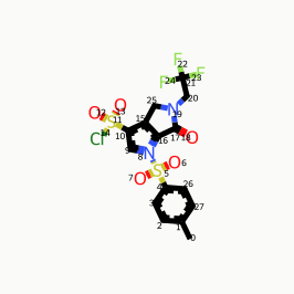 Cc1ccc(S(=O)(=O)n2cc(S(=O)(=O)Cl)c3c2C(=O)N(CC(F)(F)F)C3)cc1